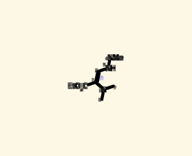 CCOC(=O)/C(=C/NNC)N(C)C